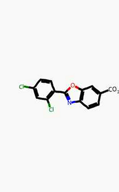 O=C(O)c1ccc2nc(-c3ccc(Cl)cc3Cl)oc2c1